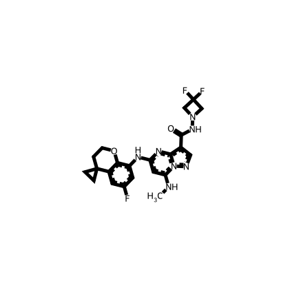 CNc1cc(Nc2cc(F)cc3c2OCCC32CC2)nc2c(C(=O)NN3CC(F)(F)C3)cnn12